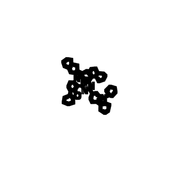 c1ccc(-n2c3ccccc3c3ccc(-c4nc(-c5cccc6ccccc56)nc(-c5c(-n6c7ccccc7c7cc8ccccc8cc76)ccc6c5oc5ccccc56)n4)cc32)cc1